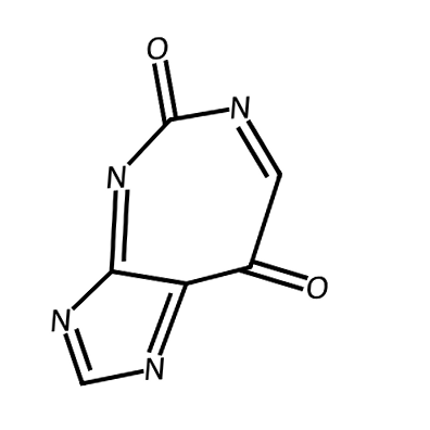 O=C1N=CC(=O)C2=NC=NC2=N1